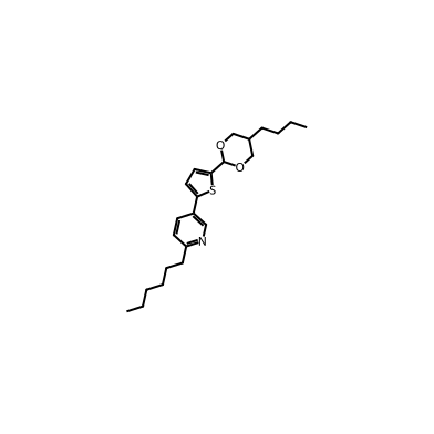 CCCCCCc1ccc(-c2ccc(C3OCC(CCCC)CO3)s2)cn1